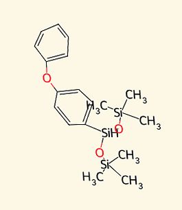 C[Si](C)(C)O[SiH](O[Si](C)(C)C)c1ccc(Oc2ccccc2)cc1